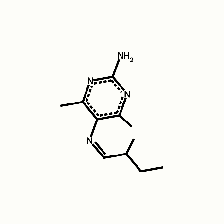 CCC(C)/C=N\c1c(C)nc(N)nc1C